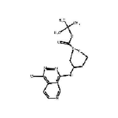 CC(C)(C)OC(=O)N1CCC[C@@H](Nc2nnc(Cl)c3ccncc23)C1